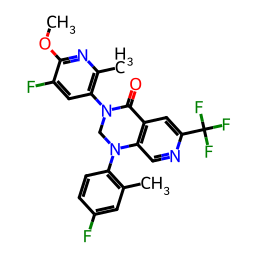 COc1nc(C)c(N2CN(c3ccc(F)cc3C)c3cnc(C(F)(F)F)cc3C2=O)cc1F